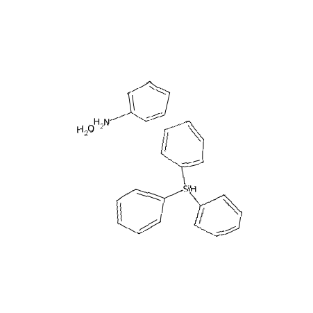 Nc1ccccc1.O.c1ccc([SiH](c2ccccc2)c2ccccc2)cc1